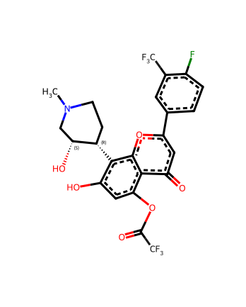 CN1CC[C@H](c2c(O)cc(OC(=O)C(F)(F)F)c3c(=O)cc(-c4ccc(F)c(C(F)(F)F)c4)oc23)[C@H](O)C1